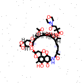 CC(=O)O[C@H]1[C@H](C)[C@H](O)[C@H](C)[C@@H](O)[C@@H](C(C)OC(=O)C(C)(C)CC(=O)N2CCOCC2)/C=C/C=C(/C)C(=O)NC2=CC(=O)c3c(c(O)c(C)c4c3C(=O)C[C@@](C)(O/C=C/[C@H](O[C@H]3C[C@@H]5OCO[C@@H]5[C@@H](C)O3)[C@H]1C)O4)C2=O